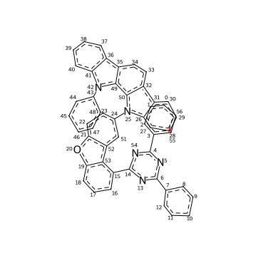 c1ccc(-c2nc(-c3ccccc3)nc(-c3cccc4oc5ccc(-n6c7ccccc7c7ccc8c9ccccc9n(-c9ccccc9)c8c76)cc5c34)n2)cc1